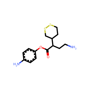 NCCC(C(=O)Oc1ccc(N)cc1)C1CCSSC1